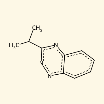 CC(C)c1nnc2ccccc2n1